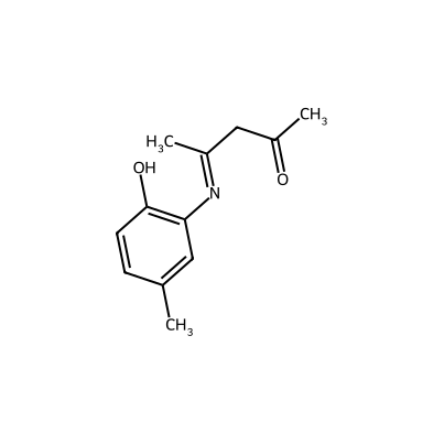 CC(=O)C/C(C)=N/c1cc(C)ccc1O